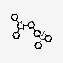 Cc1ccccc1N(c1ccc(-c2cccc(-c3nc(-c4ccccc4)cc(-c4ccccc4)n3)c2)cc1)C1C=CC=CC1